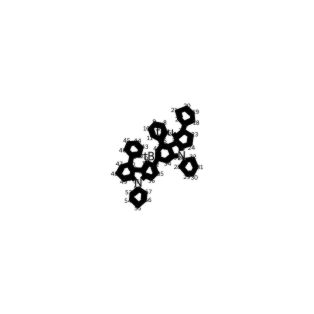 CC(C)(C)c1c(-c2cc(-c3ccccc3)c3c4c(C(C)(C)C)c(-c5ccccc5)ccc4n(-c4ccccc4)c3c2)ccc2c1c1c(-c3ccccc3)cccc1n2-c1ccccc1